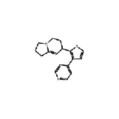 C1=C2CCCN2CCC1c1sccc1-c1ccncc1